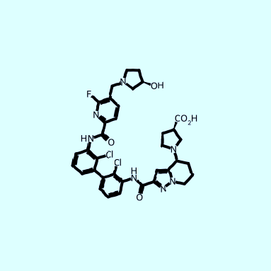 O=C(Nc1cccc(-c2cccc(NC(=O)c3cc4n(n3)CCCC4N3CC[C@@H](C(=O)O)C3)c2Cl)c1Cl)c1ccc(CN2CC[C@@H](O)C2)c(F)n1